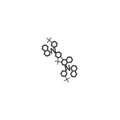 CC(C)(C)c1cccc(N(c2ccc3c(c2)C(C)(C)c2cc(N(c4cccc(C(C)(C)C)c4)c4cccc5ccccc45)c4ccccc4c2-3)c2cccc3ccccc23)c1